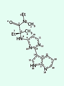 CCN(C)C(=O)[C@@](C)(CC)Nc1ccnc(-c2c[nH]c3ncccc23)n1